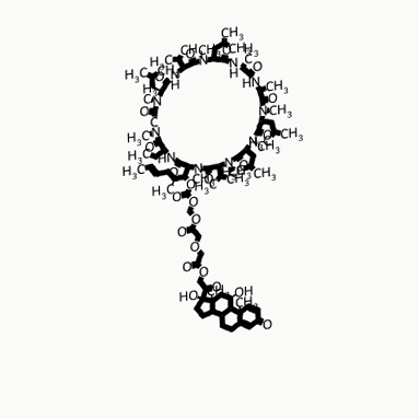 CC=CC[C@@H](C)C(OC(=O)OCOC(=O)COCC(=O)OCC(=O)[C@@]1(O)CCC2C3CCC4=CC(=O)C=C[C@]4(C)C3[C@@H](O)C[C@@]21C)C1C(=O)NC(CC)C(=O)N(C)CC(=O)N(C)[C@@H](CC(C)C)C(=O)NC(C(C)C)C(=O)N(C)C(CC(C)C)C(=O)NC(C)C(=O)NC(C)C(=O)N(C)C(CC(C)C)C(=O)N(C)C(CC(C)C)C(=O)N(C)C(C(C)C)C(=O)N1C